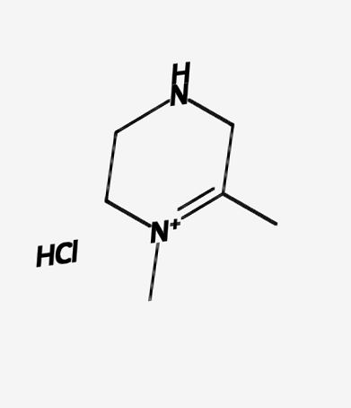 CC1=[N+](C)CCNC1.Cl